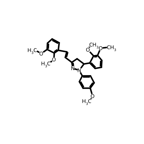 COc1ccc(N2N=C(C=Cc3cccc(OC)c3OC)CC2c2cccc(OC)c2OC)cc1